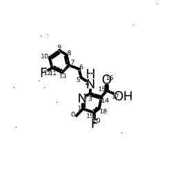 Cc1nc(NCCc2cccc(F)c2)c(C(=O)O)cc1F